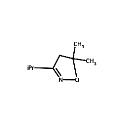 CC(C)C1=NOC(C)(C)C1